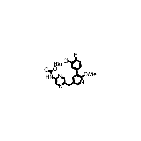 COc1ncc(Cc2cnc(NC(=O)OC(C)(C)C)cn2)cc1-c1ccc(F)c(Cl)c1